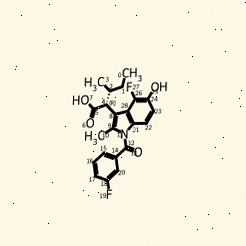 CCC(C)[C@@H](C(=O)O)c1c(C)n(C(=O)c2cccc(F)c2)c2ccc(O)c(F)c12